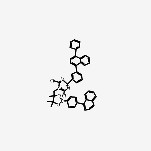 CC1(C)OB(c2ccc(-c3cccc4ccccc34)cc2)OC1(C)C[n+]1c(Cl)nc(-c2cccc(-c3ccc(-c4ccccc4)c4ccccc34)c2)nc1Cl